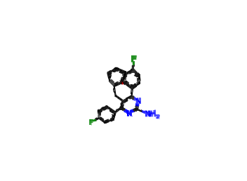 Nc1nc(-c2ccc(F)cc2)c(Cc2ccccc2)c(-c2ccc(F)cc2)n1